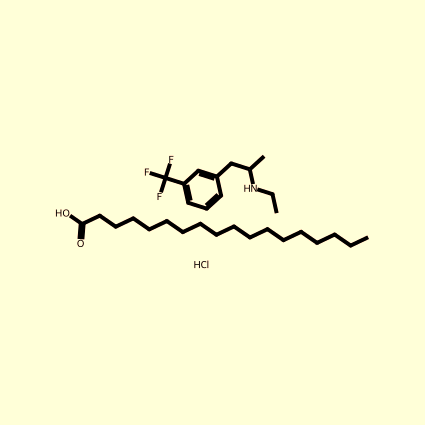 CCCCCCCCCCCCCCCCCC(=O)O.CCNC(C)Cc1cccc(C(F)(F)F)c1.Cl